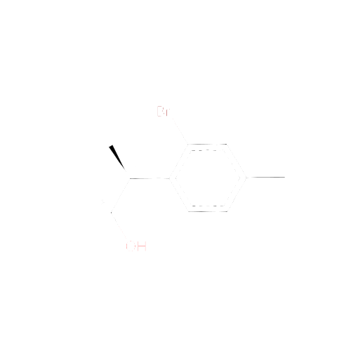 Cc1ccc([C@H](C)[C@@H](C)O)c(Br)c1